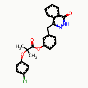 CC(C)(Oc1ccc(Cl)cc1)C(=O)Oc1cccc(Cc2n[nH]c(=O)c3ccccc23)c1